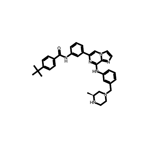 C[C@H]1CN(Cc2cccc(Nc3nc(-c4cccc(NC(=O)c5ccc(C(C)(C)C)cc5)c4)cn4ccnc34)c2)CCN1